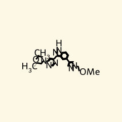 COCCn1cc(-c2ccc3[nH]nc(-c4cc(N5C[C@@H](C)O[C@@H](C)C5)ncn4)c3c2)cn1